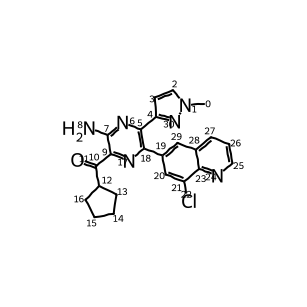 Cn1ccc(-c2nc(N)c(C(=O)C3CCCC3)nc2-c2cc(Cl)c3ncccc3c2)n1